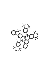 Cc1cc2c(cc1N1c3cc4c(cc3B3c5c(cc6ccccc6c51)-c1cc5c(cc1N3c1ccc3c(c1)C(C)(C)CCC3(C)C)C(C)(C)CCC5(C)C)C(C)(C)c1ccccc1-4)C(C)(C)CCC2(C)C